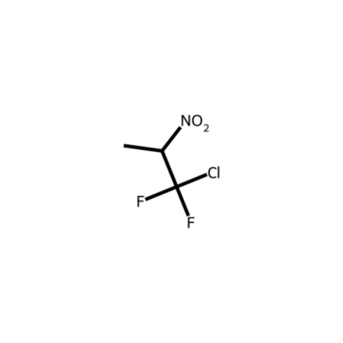 CC([N+](=O)[O-])C(F)(F)Cl